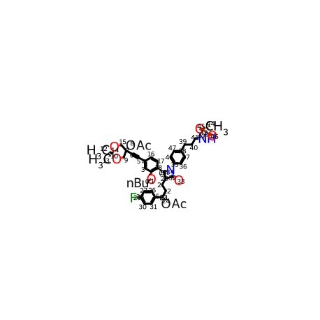 CCCCOc1cc(C#CC2(OC(C)=O)COC(C)(C)OC2)ccc1[C@@H]1C(CC[C@H](OC(C)=O)c2ccc(F)cc2)C(=O)N1c1ccc(CCCNS(C)(=O)=O)cc1